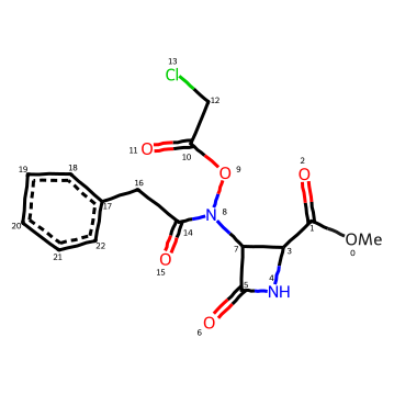 COC(=O)C1NC(=O)C1N(OC(=O)CCl)C(=O)Cc1ccccc1